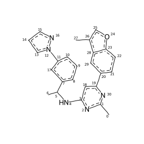 Cc1nc(NC(C)c2cccc(-n3cccn3)c2)cc(-c2ccc3occ(C)c3c2)n1